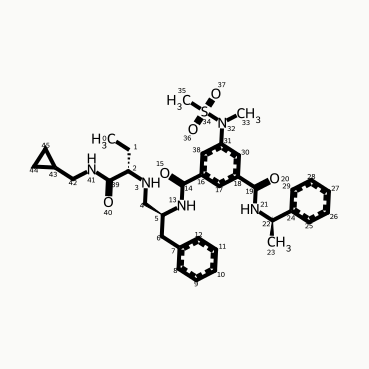 CC[C@H](NC[C@H](Cc1ccccc1)NC(=O)c1cc(C(=O)N[C@H](C)c2ccccc2)cc(N(C)S(C)(=O)=O)c1)C(=O)NCC1CC1